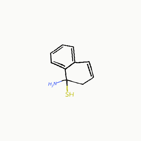 NC1(S)CC=Cc2ccccc21